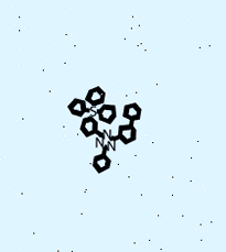 C1=CCC(S(c2ccccc2)(c2ccccc2)c2cccc(-c3nc(-c4ccccc4)nc(-c4cccc(-c5ccccc5)c4)n3)c2)C=C1